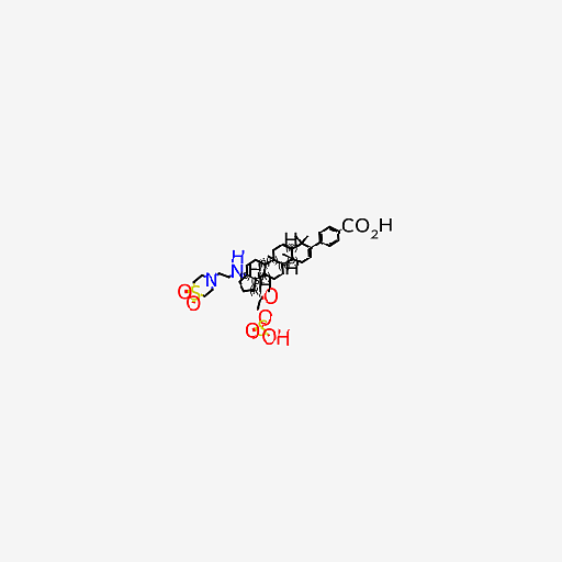 CC1(C)C(c2ccc(C(=O)O)cc2)=CC[C@]2(C)[C@H]3CC[C@@H]4[C@H]5[C@H](C(=O)COS(=O)O)CC[C@]5(NCCN5CCS(=O)(=O)CC5)CC[C@@]4(C)[C@]3(C)CC[C@@H]12